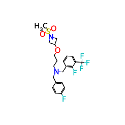 CS(=O)(=O)N1CC(OCCCN(Cc2ccc(F)cc2)Cc2cccc(C(F)(F)F)c2F)C1